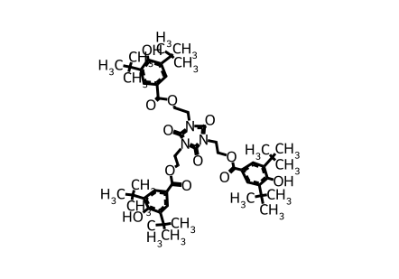 CC(C)(C)c1cc(C(=O)OCCn2c(=O)n(CCOC(=O)c3cc(C(C)(C)C)c(O)c(C(C)(C)C)c3)c(=O)n(CCOC(=O)c3cc(C(C)(C)C)c(O)c(C(C)(C)C)c3)c2=O)cc(C(C)(C)C)c1O